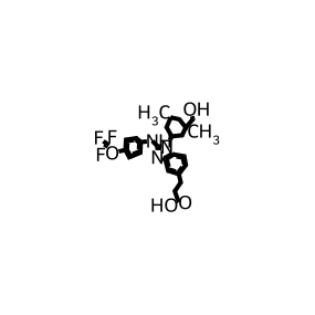 CC1CC(n2c(Nc3ccc(OC(F)(F)F)cc3)nc3cc(CCC(=O)O)ccc32)CC(C)(CO)C1